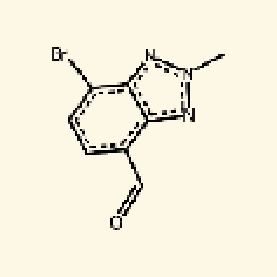 Cn1nc2c(Br)ccc(C=O)c2n1